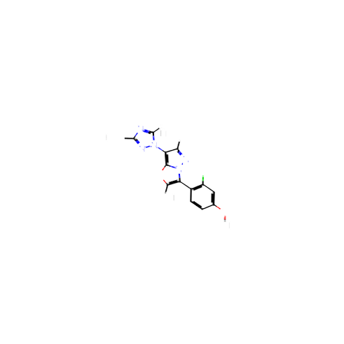 COc1ccc(-c2c(C)oc3c(-n4nc(C)nc4C)c(C)nn23)c(Cl)c1